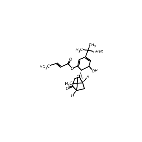 CCCCCCC(C)(C)C1=CC(O)[C@H](C2CC(=O)[C@H]3C[C@@H]2C3(C)C)C(OC(=O)/C=C/C(=O)O)=C1